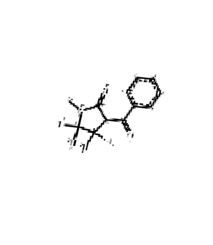 [2H]C1([2H])C(C(=O)c2ccccc2)C(=O)N(C)C1([2H])[2H]